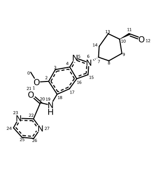 COc1cc2nn([C@H]3CC[C@H](C=O)CC3)cc2cc1NC(=O)c1ncccn1